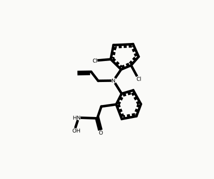 C=CCN(c1ccccc1CC(=O)NO)c1c(Cl)cccc1Cl